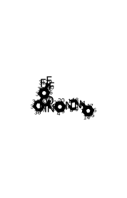 O=C(Nc1ccc(N2CCN(Cc3ccccc3)CC2)cc1)C1=C(c2ccc(C(F)(F)F)cc2)CCCC1